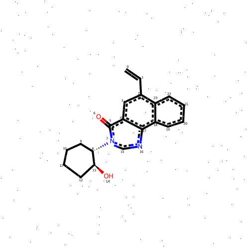 C=Cc1cc2c(=O)n([C@H]3CCCC[C@@H]3O)cnc2c2ccccc12